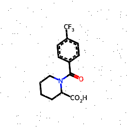 O=C(O)C1CCCCN1C(=O)c1ccc(C(F)(F)F)cc1